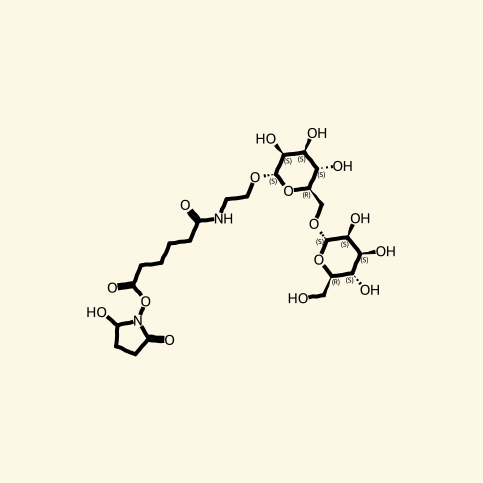 O=C(CCCCC(=O)ON1C(=O)CCC1O)NCCO[C@H]1O[C@H](CO[C@H]2O[C@H](CO)[C@@H](O)[C@H](O)[C@@H]2O)[C@@H](O)[C@H](O)[C@@H]1O